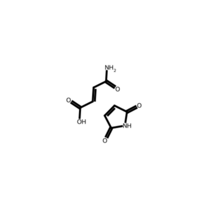 NC(=O)C=CC(=O)O.O=C1C=CC(=O)N1